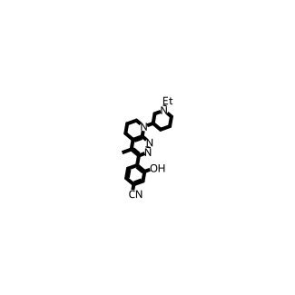 CCN1CCCC(N2CCCc3c2nnc(-c2ccc(C#N)cc2O)c3C)C1